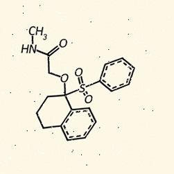 CNC(=O)COC1(S(=O)(=O)c2ccccc2)CCCc2ccccc21